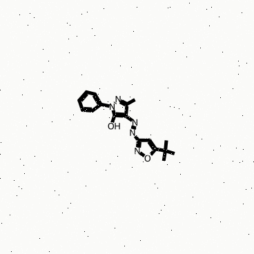 Cc1nn(-c2ccccc2)c(O)c1N=Nc1cc(C(C)(C)C)on1